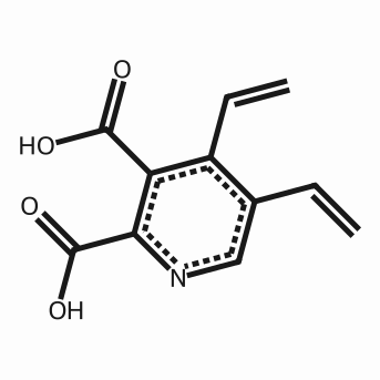 C=Cc1cnc(C(=O)O)c(C(=O)O)c1C=C